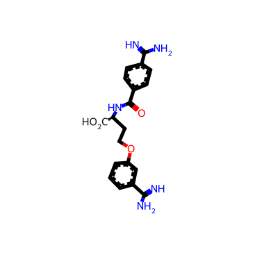 N=C(N)c1ccc(C(=O)N[C@@H](CCOc2cccc(C(=N)N)c2)C(=O)O)cc1